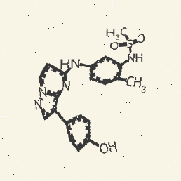 Cc1ccc(Nc2ccn3ncc(-c4ccc(O)cc4)c3n2)cc1NS(C)(=O)=O